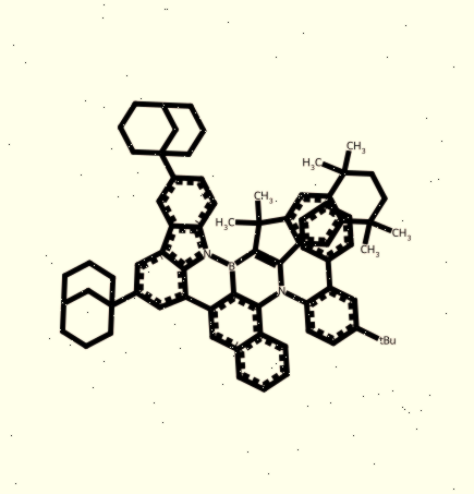 CC(C)(C)c1ccc(N2C3=C(B4c5c(cc6ccccc6c52)-c2cc(C56CCCC(CCC5)C6)cc5c6cc(C78CCCC(CCC7)C8)ccc6n4c25)C(C)(C)c2cc4c(cc23)C(C)(C)CCC4(C)C)c(-c2ccccc2)c1